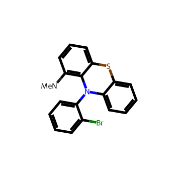 CNc1cccc2c1N(c1ccccc1Br)c1ccccc1S2